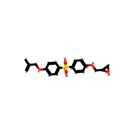 C=C(C)COc1ccc(S(=O)(=O)c2ccc(OCC3CO3)cc2)cc1